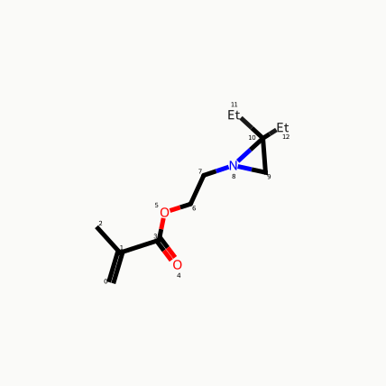 C=C(C)C(=O)OCCN1CC1(CC)CC